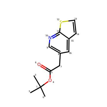 CC(C)(C)OC(=O)Cc1cnc2sccc2c1